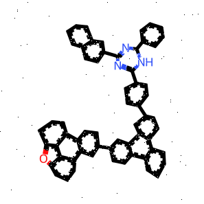 c1ccc(C2N=C(c3ccc4ccccc4c3)N=C(c3ccc(-c4ccc5c6ccccc6c6ccc(-c7ccc8c(c7)c7cccc9oc%10cccc8c%10c97)cc6c5c4)cc3)N2)cc1